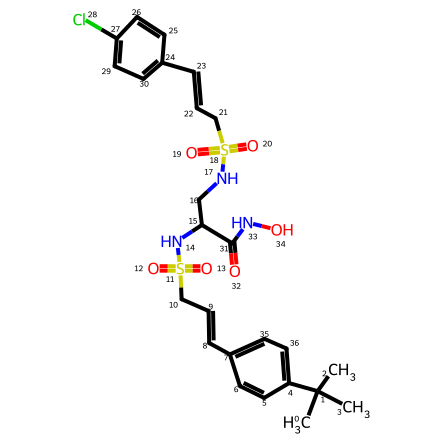 CC(C)(C)c1ccc(C=CCS(=O)(=O)NC(CNS(=O)(=O)CC=Cc2ccc(Cl)cc2)C(=O)NO)cc1